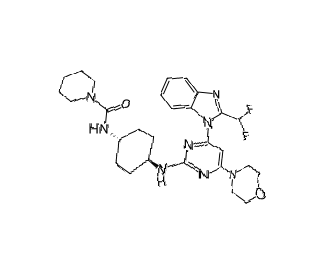 O=C(N[C@H]1CC[C@H](Nc2nc(N3CCOCC3)cc(-n3c(C(F)F)nc4ccccc43)n2)CC1)N1CCCCC1